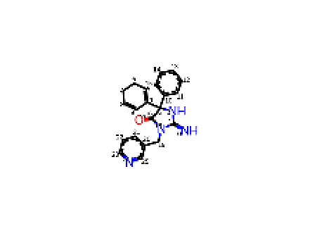 N=C1NC(C2=CCCC=C2)(c2ccccc2)C(=O)N1Cc1cccnc1